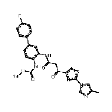 Cc1cn(-c2nc(C(=O)CC(=O)Nc3cc(-c4ccc(F)cc4)ccc3NC(=O)OC(C)(C)C)cs2)cn1